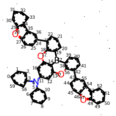 c1ccc(N(c2ccccc2)c2cc3c4c(c2)Oc2c(cccc2-c2ccc5oc6ccccc6c5c2)B4c2cccc(-c4ccc5oc6ccccc6c5c4)c2O3)cc1